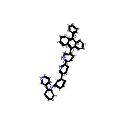 C1=Cc2c(n(-c3cccc(-c4ccc(-c5ccc(-c6c7ccccc7c(-c7ccccc7)c7ccccc67)cn5)nc4)c3)c3ccncc23)CC1